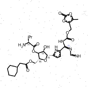 Cc1oc(=O)oc1COC(=O)N/C(=N/C=N)c1ccc([C@@H]2O[C@H](COC(=O)CC3CCCCC3)C(OC(=O)[C@@H](N)C(C)C)[C@H]2O)[nH]1